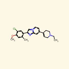 CCN1CC=C(c2ccn3cc(-c4cc(Cl)c(OC)cc4C)nc3c2)CC1